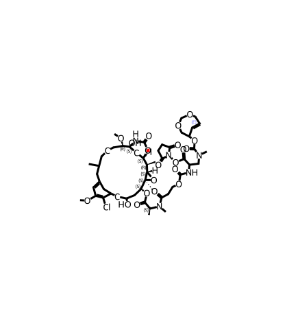 COC1=C(Cl)C2CC(=C1)CC(C)CCC[C@@H](OC)[C@@]1(O)C[C@H](OC(=O)N1)[C@@H](C)[C@@H]1O[C@@]1(C)[C@@H](OC(=O)[C@H](C)N(C)C(=O)CCOC(=O)NC(CN(C)C(=O)OC1/C=C/COCOC1)C(=O)ON1C(=O)CCC1=O)CC(O)C2